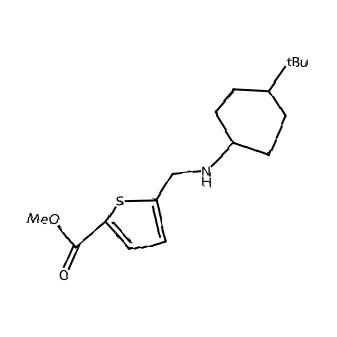 COC(=O)c1ccc(CNC2CCC(C(C)(C)C)CC2)s1